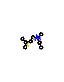 c1ccc(-c2ccc(-c3nc(-c4ccccc4)nc(-c4cccc5c4sc4ccc(-c6cc(-c7ccccc7)cc7c6sc6ccccc67)cc45)n3)cc2)cc1